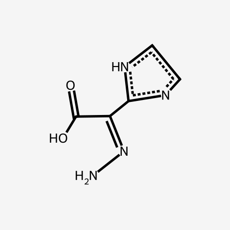 NN=C(C(=O)O)c1ncc[nH]1